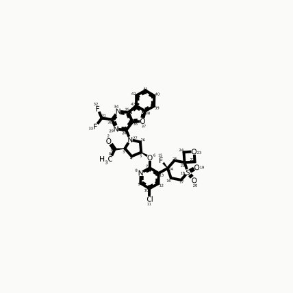 CC(=O)[C@@H]1C[C@H](Oc2ncc(Cl)cc2[C@@]2(F)CCS(=O)(=O)C3(COC3)C2)CN1c1nc(C(F)F)nc2c1oc1ccccc12